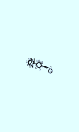 O=CC#Cc1ccc(-c2ncccn2)cc1